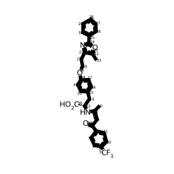 C/C(=C/C(=O)c1ccc(C(F)(F)F)cc1)N[C@@H](Cc1ccc(OCCc2nc(-c3ccccc3)oc2C)cc1)C(=O)O